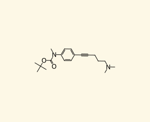 CN(C)CCCC#Cc1ccc(N(C)C(=O)OC(C)(C)C)cc1